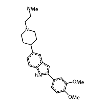 CNCCN1CCC(c2ccc3[nH]c(-c4ccc(OC)c(OC)c4)cc3c2)CC1